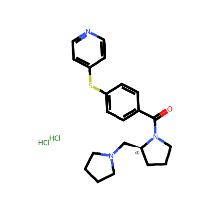 Cl.Cl.O=C(c1ccc(Sc2ccncc2)cc1)N1CCC[C@H]1CN1CCCC1